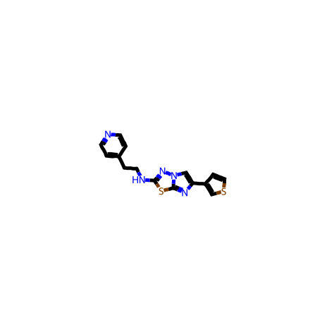 c1cc(CCNc2nn3cc(-c4ccsc4)nc3s2)ccn1